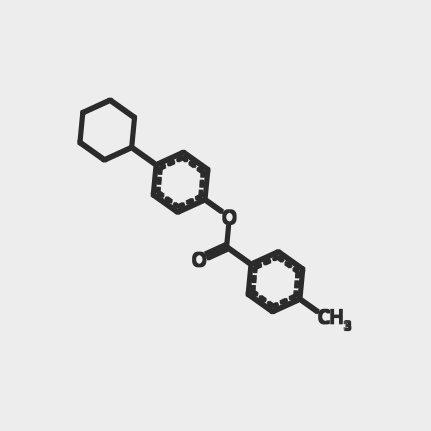 Cc1ccc(C(=O)Oc2ccc(C3CCCCC3)cc2)cc1